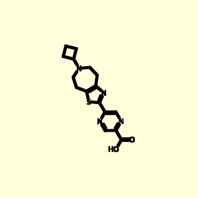 O=C(O)c1cnc(-c2nc3c(s2)CCN(C2CCC2)CC3)cn1